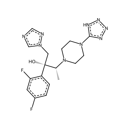 C[C@@H](N1CCN(c2nnn[nH]2)CC1)[C@](O)(Cn1cncn1)c1ccc(F)cc1F